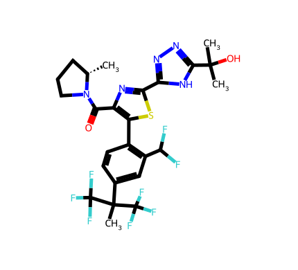 C[C@H]1CCCN1C(=O)c1nc(-c2nnc(C(C)(C)O)[nH]2)sc1-c1ccc(C(C)(C(F)(F)F)C(F)(F)F)cc1C(F)F